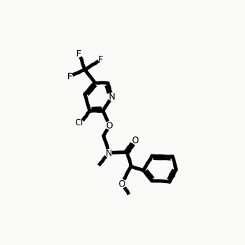 COC(C(=O)N(C)COc1ncc(C(F)(F)F)cc1Cl)c1ccccc1